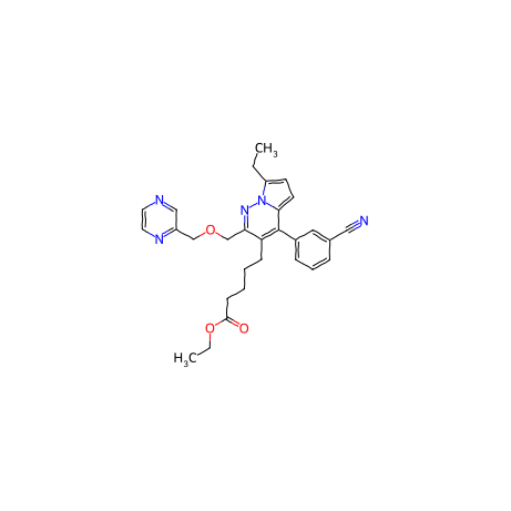 CCOC(=O)CCCCc1c(COCc2cnccn2)nn2c(CC)ccc2c1-c1cccc(C#N)c1